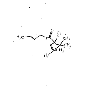 CCCCOC(=O)C(C)(C=C(C)C)C(C)(C)C